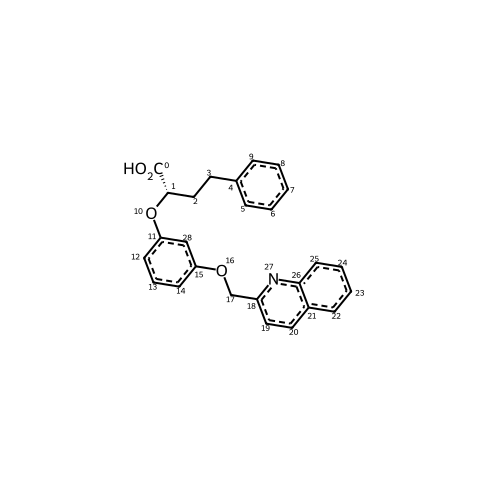 O=C(O)[C@H](CCc1ccccc1)Oc1cccc(OCc2ccc3ccccc3n2)c1